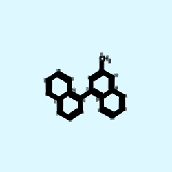 Cc1[c]c(-c2[c]ccc3ccccc23)c2ccccc2c1